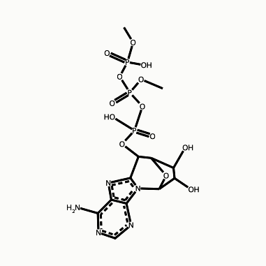 COP(=O)(O)OP(=O)(OC)OP(=O)(O)OC1c2nc3c(N)ncnc3n2C2OC1C(O)C2O